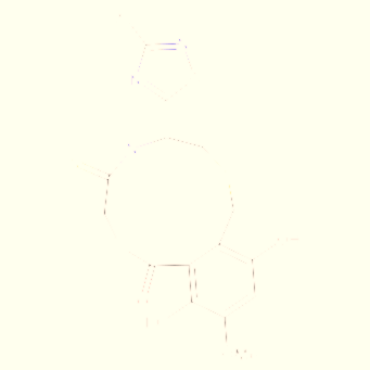 COc1cc(O)c2c(c1C)C(=O)OCC(=S)N[C@H](c1nc(C)no1)CSC2